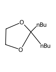 CCCCC1(CCCC)OCCO1